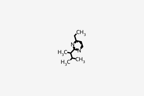 CCc1ccnc(C(C)C(C)C)n1